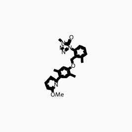 COc1cccc(-c2cc(C)c(OCc3c(C)cccc3-n3nnn(C)c3=O)cc2C)n1